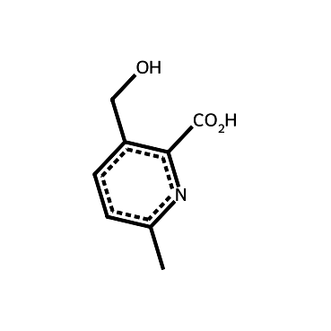 Cc1ccc(CO)c(C(=O)O)n1